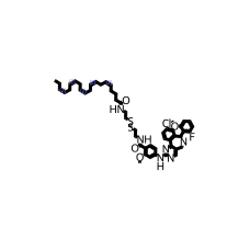 CC/C=C\C/C=C\C/C=C\C/C=C\C/C=C\CCCC(=O)NCCSSCCNC(=O)c1ccc(Nc2ncc3c(n2)-c2ccc(Cl)cc2C(c2c(F)cccc2OC)=NC3)cc1OC